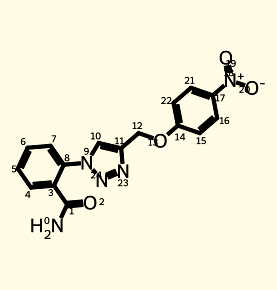 NC(=O)c1ccccc1-n1cc(COc2ccc([N+](=O)[O-])cc2)nn1